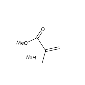 C=C(C)C(=O)OC.[NaH]